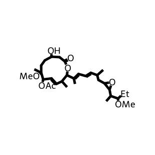 CCC(OC)C(C)C1OC1CC(C)/C=C/C=C(\C)C1OC(=O)CC(O)CCC(C)(OC)C(OC(C)=O)/C=C/C1C